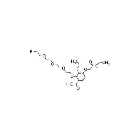 CCCc1c(OCC(=O)OCC)ccc(C(C)=O)c1OCCOCCOCCOCCBr